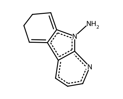 Nn1c2c(c3cccnc31)=CCCC=2